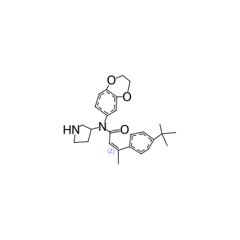 C/C(=C/C(=O)N(c1ccc2c(c1)OCCO2)C1CCNC1)c1ccc(C(C)(C)C)cc1